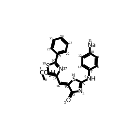 CC(=O)O.O=C1N=C(Nc2cc[c]([Na])cc2)SC1=Cc1csc(-c2ccccc2)n1